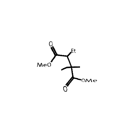 CCC(C(=O)OC)C(C)(C)C(=O)OC